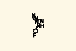 Fc1ccc(CNc2cncc(-n3ccnc3)n2)cc1